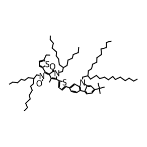 CCCCCCCCCCCCC(CCCCCCCCCC)Cn1c2cc(-c3ccc(C4=C(C)/C(=C(/c5ccc(CC)s5)N(C=O)CC(CCCCCC)CCCCCCCC)C(=O)N4CC(CCCCCC)CCCCCCCC)s3)ccc2c2ccc(C(C)(C)C)cc21